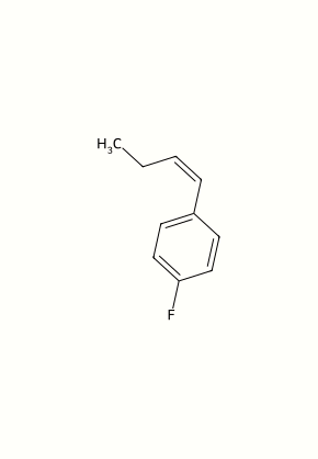 CC/C=C\c1ccc(F)cc1